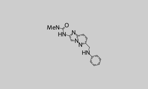 CNC(=O)Nc1cn2nc(CNc3ccccc3)ccc2n1